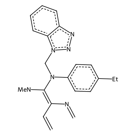 C=C/C(N=C)=C(\NC)N(Cn1nnc2ccccc21)c1ccc(CC)cc1